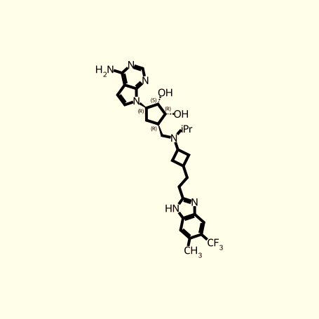 Cc1cc2[nH]c(CCC3CC(N(C[C@H]4C[C@@H](n5ccc6c(N)ncnc65)[C@H](O)[C@@H]4O)C(C)C)C3)nc2cc1C(F)(F)F